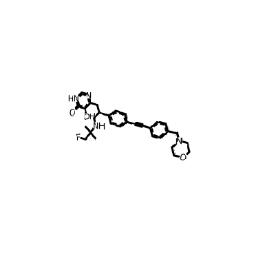 CC(C)(CF)NCC(Cc1nc[nH]c(=O)c1O)c1ccc(C#Cc2ccc(CN3CCOCC3)cc2)cc1